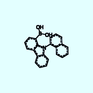 OB(O)c1cccc2c3ccccc3n(-c3cccc4ccccc34)c12